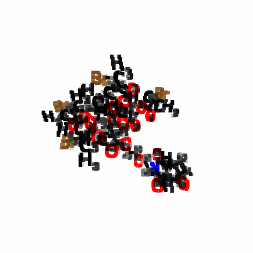 CC(C)(Br)C(=O)OCC(C)(COC(=O)C(C)(C)Br)C(=O)OCC(C)(COC(=O)C(C)(COC(=O)C(C)(C)Br)COC(=O)C(C)(C)Br)C(=O)OCCOCCN1C(=O)[C@@H]2C3OC34C=CC4[C@@H]2C1=O